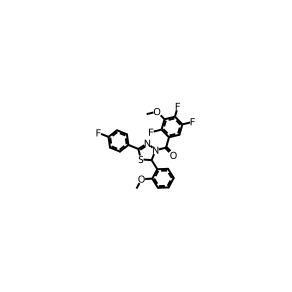 COc1ccccc1C1SC(c2ccc(F)cc2)=NN1C(=O)c1cc(F)c(F)c(OC)c1F